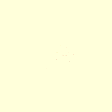 CCCC(C)CCSc1c(Cl)c(Cl)c(O)c(Cl)c1Cl